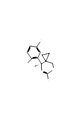 C[C@]1(c2cc(N)ccc2F)N=C(N)OCC12CC2